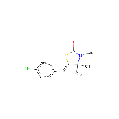 CCCCN1C(=O)S/C(=C\c2ccc(Cl)cc2)C1(C)C